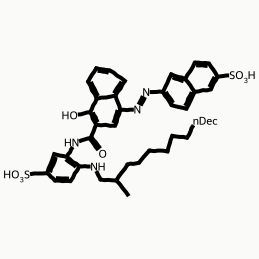 CCCCCCCCCCCCCCCCC(C)CNc1ccc(S(=O)(=O)O)cc1NC(=O)c1cc(N=Nc2ccc3cc(S(=O)(=O)O)ccc3c2)c2ccccc2c1O